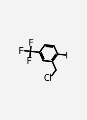 FC(F)(F)c1ccc(I)c(CCl)c1